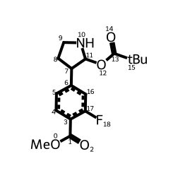 COC(=O)c1ccc(C2CCNC2OC(=O)C(C)(C)C)cc1F